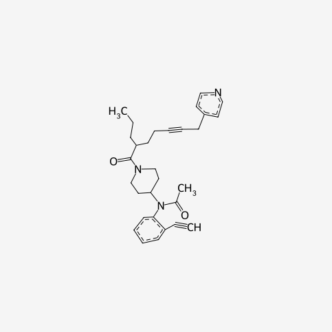 C#Cc1ccccc1N(C(C)=O)C1CCN(C(=O)C(CCC)CCC#CCc2ccncc2)CC1